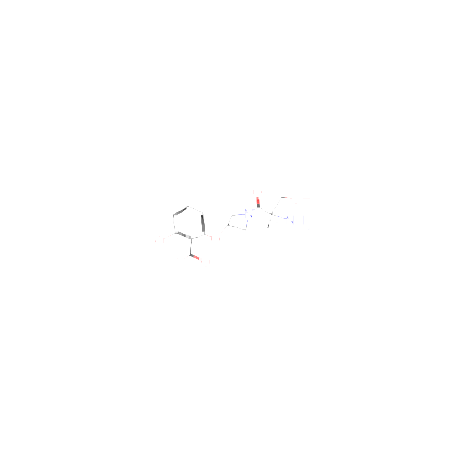 C[C@](N)(CO)C(=O)N1CC(Oc2cccc(O)c2C(=O)O)C1